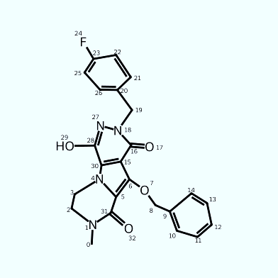 CN1CCn2c(c(OCc3ccccc3)c3c(=O)n(Cc4ccc(F)cc4)nc(O)c32)C1=O